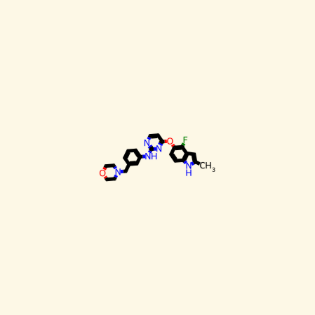 Cc1cc2c(F)c(Oc3ccnc(Nc4cccc(CN5CCOCC5)c4)n3)ccc2[nH]1